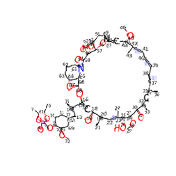 CCOP(=O)(OCC)O[C@@H]1CC[C@@H](C[C@@H](C)[C@@H]2CC(=O)[C@H](C)/C=C(\C)[C@@H](O)[C@@H](OC)C(=O)[C@H](C)C[C@H](C)/C=C/C=C/C=C(\C)[C@@H](OC)C[C@@H]3CC[C@@H](C)C(O)(O3)C(=O)C(=O)N3CCCCC3C(=O)O2)C[C@H]1OC